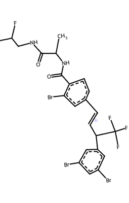 CC(NC(=O)c1ccc(/C=C/C(c2cc(Br)cc(Br)c2)C(F)(F)F)cc1Br)C(=O)NCC(F)F